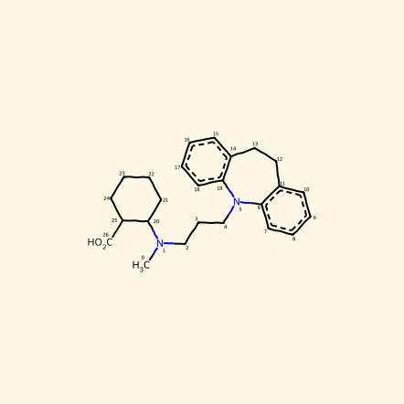 CN(CCCN1c2ccccc2CCc2ccccc21)C1CCCCC1C(=O)O